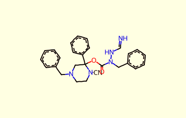 N#CN1CCN(Cc2ccccc2)CC1(OC(=O)N(Cc1ccccc1)NC=N)c1ccccc1